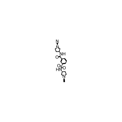 C#CN1CC[C@@H](NS(=O)(=O)c2cccc(C(=O)NC3CCN(C#N)C3)c2)C1